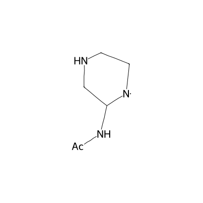 CC(=O)NC1CNCC[N]1